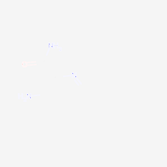 NC(=O)c1nc(-c2cccc(I)c2)ccc1N